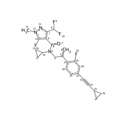 C=C(CN(C(=O)c1c(C(F)F)nn(C)c1F)C1CC1)c1ccc(C#CC2CC2)cc1F